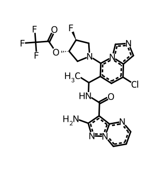 CC(NC(=O)c1c(N)nn2cccnc12)c1cc(Cl)c2cncn2c1N1C[C@H](OC(=O)C(F)(F)F)[C@@H](F)C1